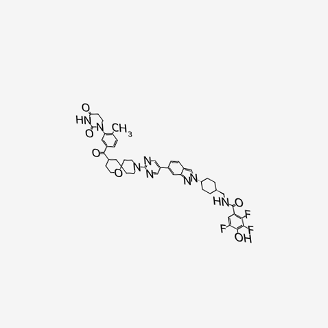 Cc1ccc(C(=O)C2CCOC3(CCN(c4ncc(-c5ccc6cn([C@H]7CC[C@H](CNC(=O)c8cc(F)c(O)c(F)c8F)CC7)nc6c5)cn4)CC3)C2)cc1N1CCC(=O)NC1=O